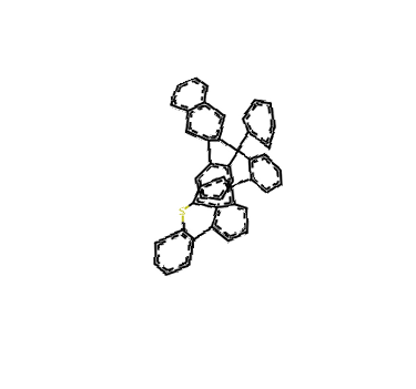 c1ccc(C2(c3ccccc3-c3ccc4c5c(cccc35)-c3ccccc3S4)c3ccccc3-c3cc4ccccc4cc32)cc1